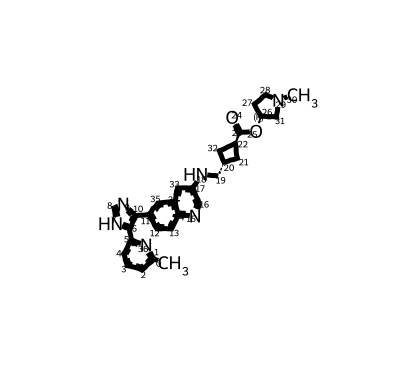 Cc1cccc(-c2[nH]cnc2-c2ccc3ncc(NC[C@H]4C[C@H](C(=O)O[C@@H]5CCN(C)C5)C4)cc3c2)n1